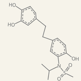 CC(C)N(c1cc(CCc2ccc(O)c(O)c2)ccc1O)S(C)(=O)=O